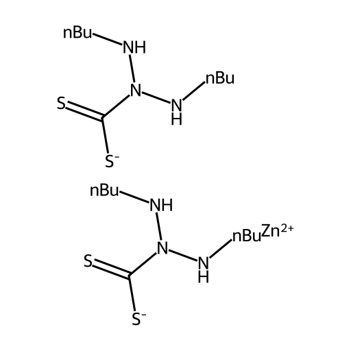 CCCCNN(NCCCC)C(=S)[S-].CCCCNN(NCCCC)C(=S)[S-].[Zn+2]